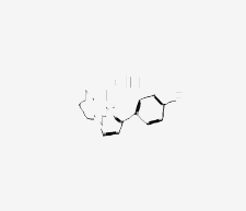 C[C@H](N)Cn1ccc(-c2ccc(F)cc2)n1.Cl